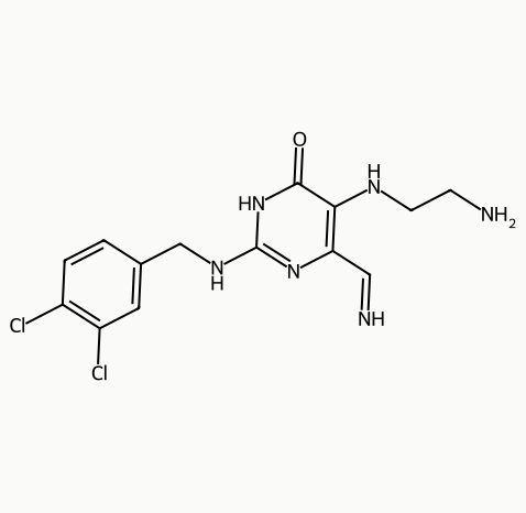 N=Cc1nc(NCc2ccc(Cl)c(Cl)c2)[nH]c(=O)c1NCCN